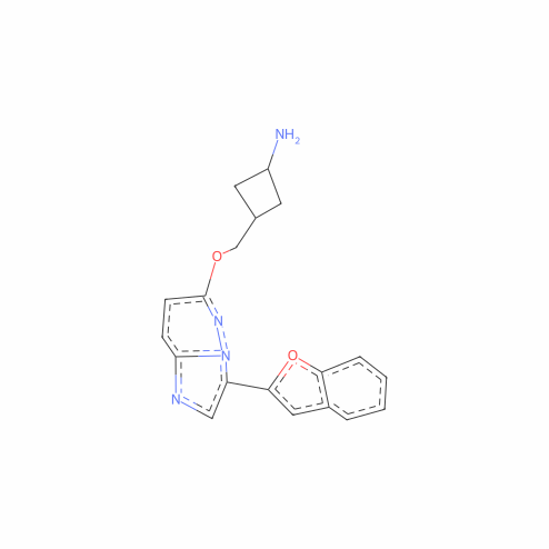 NC1CC(COc2ccc3ncc(-c4cc5ccccc5o4)n3n2)C1